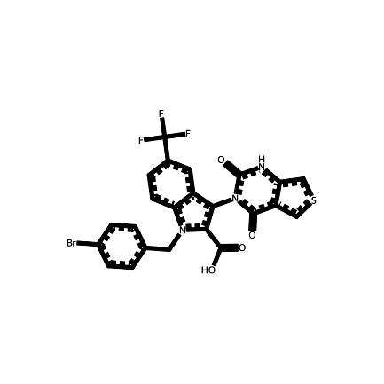 O=C(O)c1c(-n2c(=O)[nH]c3cscc3c2=O)c2cc(C(F)(F)F)ccc2n1Cc1ccc(Br)cc1